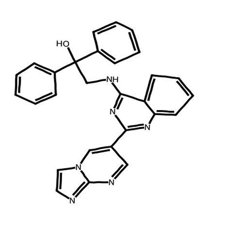 OC(CNc1nc(-c2cnc3nccn3c2)nc2ccccc12)(c1ccccc1)c1ccccc1